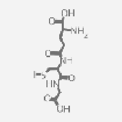 NC(CCC(=O)NC(CSI)C(=O)NCC(=O)O)C(=O)O